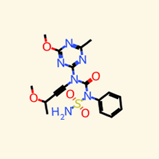 COc1nc(C)nc(N(C#CC(C)OC)C(=O)N(c2ccccc2)S(N)(=O)=O)n1